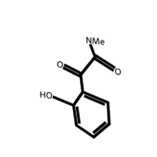 CNC(=O)C(=O)c1ccccc1O